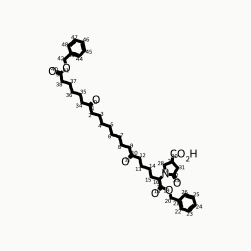 O=C(CCCCCCCCC(=O)CCCCC(C(=O)OCc1ccccc1)N1CC(C(=O)O)CC1=O)CCCCCC(=O)OCc1ccccc1